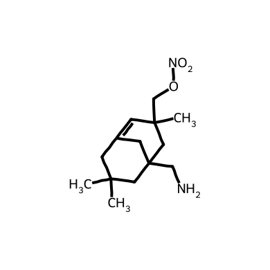 CC1(C)CC2=CC(C)(CO[N+](=O)[O-])CC(CN)(C2)C1